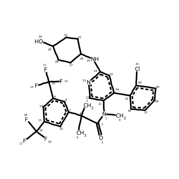 CN(C(=O)C(C)(C)c1cc(C(F)(F)F)cc(C(F)(F)F)c1)c1cnc(NC2CCC(O)CC2)cc1-c1ccccc1Cl